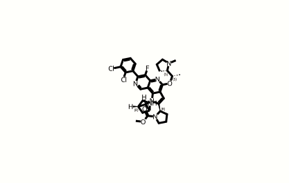 COC(=O)N1CCC[C@@H]1c1cc2c(O[C@@H](C)[C@@H]3CCCN3C)nc3c(F)c(-c4cccc(Cl)c4Cl)ncc3c2n1[C@@H]1C2C[C@@H]1CN2